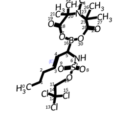 CCC/C=C/C(NS(=O)(=O)OCC(Cl)(Cl)Cl)B1OC(=O)C(C)(C)N(C)C(C)(C)C(=O)O1